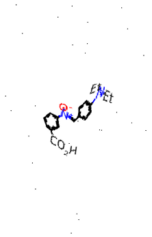 CCN(CC)c1ccc(C=[N+]([O-])c2cccc(C(=O)O)c2)cc1